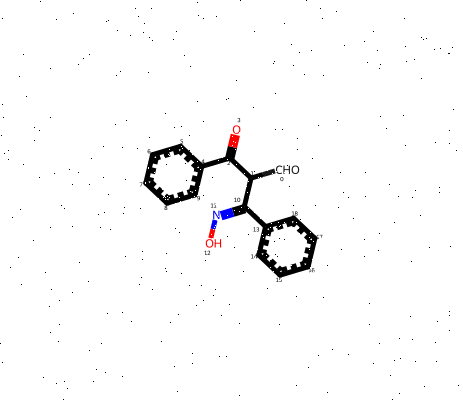 O=CC(C(=O)c1ccccc1)C(=NO)c1ccccc1